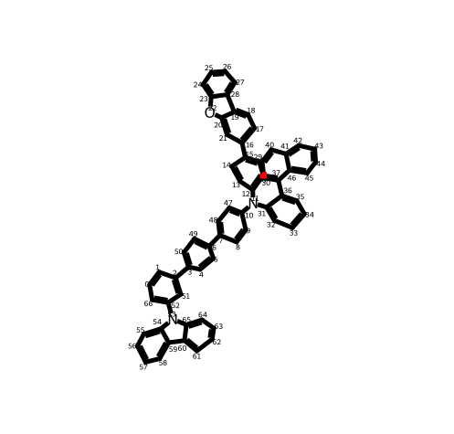 c1cc(-c2ccc(-c3ccc(N(c4ccc(-c5ccc6c(c5)oc5ccccc56)cc4)c4ccccc4-c4cccc5ccccc45)cc3)cc2)cc(-n2c3ccccc3c3ccccc32)c1